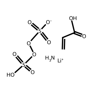 C=CC(=O)O.N.O=S(=O)([O-])OOS(=O)(=O)O.[Li+]